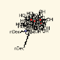 CCCCCCCCCCCCC/C=C/[C@@H](O)[C@H](CO[C@@H]1OC(CO)[C@@H](O[C@@H]2OC(CO)[C@H](O)[C@H](O[C@@H]3OC(CO)[C@@H](O[C@@H]4OC(CO)[C@H](O)[C@H](O[C@@H]5OC(CO)[C@@H](O[C@@H]6OC(CO)[C@H](O)[C@H](O[C@H]7OC(CO)[C@H](O)[C@H](O)C7O)C6O[C@H]6OC(C)[C@@H](O)C(O)[C@@H]6O)[C@H](O)C5NC(C)=O)C4O)[C@H](O)C3NC(C)=O)C2O)[C@H](O)C1O)NC(=O)CCCCCCCCCCCCCCCCCCC